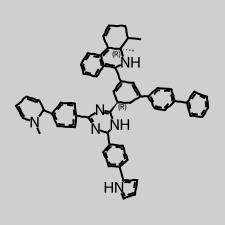 CC1CC=CC2=c3ccccc3=C(C3=C[C@H](C4=NC(c5ccc(C6C=CC=CN6C)cc5)=NC(c5ccc(-c6ccc[nH]6)cc5)N4)CC(c4ccc(-c5ccccc5)cc4)=C3)N[C@@]21C